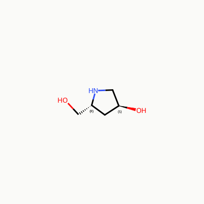 OC[C@H]1C[C@H](O)CN1